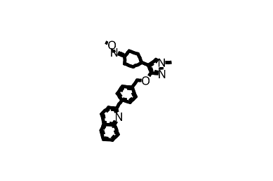 CON=C1CCC(c2cn(C)nc2OCc2ccc(-c3ccc4ccccc4n3)cc2)CC1